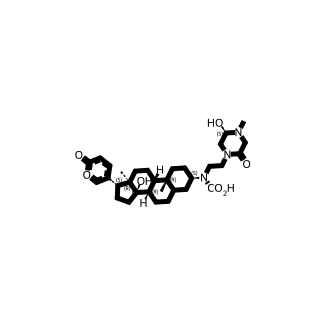 CN1CC(=O)N(CCN(C(=O)O)[C@H]2CC[C@]3(C)C(CC[C@@H]4[C@@H]3CC[C@]3(C)[C@@H](c5ccc(=O)oc5)CC[C@]43O)C2)C[C@@H]1O